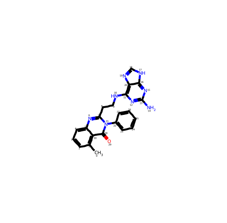 Cc1cccc2nc(CCNc3nc(N)nc4[nH]cnc34)n(-c3ccccc3)c(=O)c12